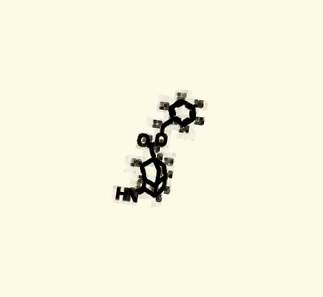 N=C1C2CC3CC1CC(C(=O)OCc1ccccc1)(C3)C2